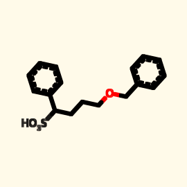 O=S(=O)(O)C(CCCOCc1ccccc1)c1ccccc1